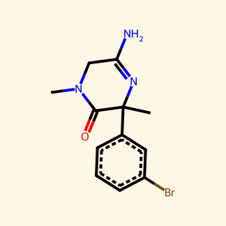 CN1CC(N)=NC(C)(c2cccc(Br)c2)C1=O